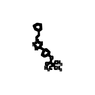 CC(C)(C)C(=O)Oc1ccc(-c2nnn(CCc3ccccc3)n2)cc1